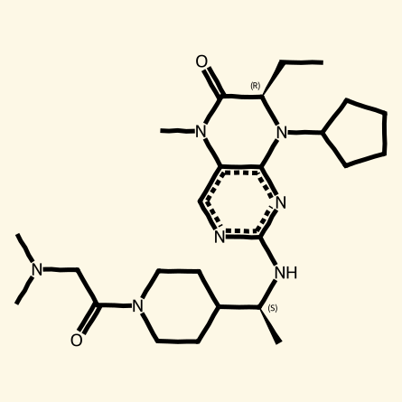 CC[C@@H]1C(=O)N(C)c2cnc(N[C@@H](C)C3CCN(C(=O)CN(C)C)CC3)nc2N1C1CCCC1